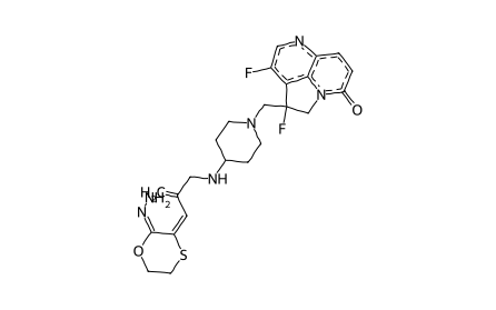 C=C(/C=C1/SCCO/C1=N/N)CNC1CCN(CC2(F)Cn3c(=O)ccc4ncc(F)c2c43)CC1